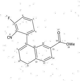 [C-]#[N+]c1c(F)cccc1C1=CCCc2ccc(C(=O)OC)cc21